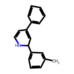 Cc1cccc(C2C=C(c3ccccc3)C=CN2)c1